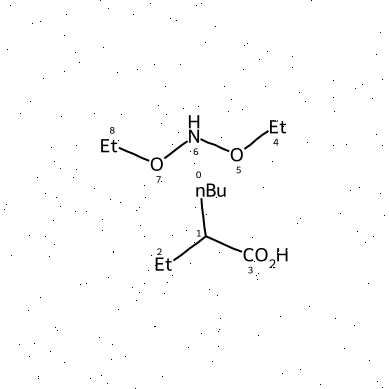 CCCCC(CC)C(=O)O.CCONOCC